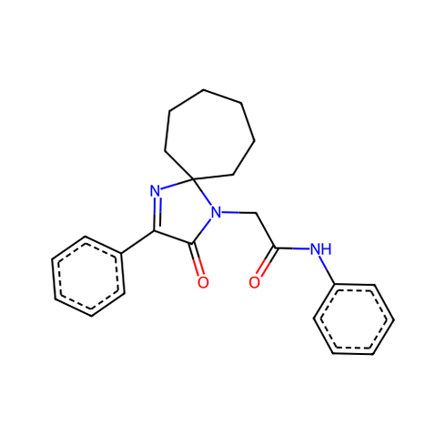 O=C(CN1C(=O)C(c2ccccc2)=NC12CCCCCC2)Nc1ccccc1